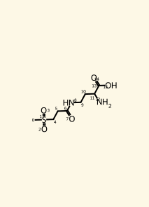 CS(=O)(=O)CCC(=O)NCCC(N)C(=O)O